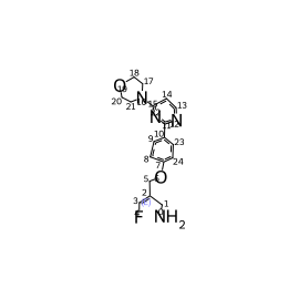 NC/C(=C\F)COc1ccc(-c2nccc(N3CCOCC3)n2)cc1